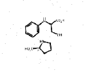 O=C(O)C(CO)Nc1ccccc1.O=C(O)[C@@H]1CCCN1